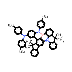 CC(C)(C)c1ccc(N2B3c4cccc5c4N(c4ccccc4C5(C)C)c4cc5c(c(c43)-c3cc(N(c4ccc(C(C)(C)C)cc4)c4ccc(C(C)(C)C)cc4)ccc32)C(C)(C)c2ccccc2-5)cc1